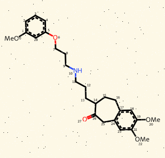 COc1cccc(OCCCNCCCC2CCc3cc(OC)c(OC)cc3CC2=O)c1